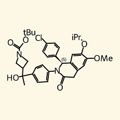 COc1cc2c(cc1OC(C)C)[C@H](c1ccc(Cl)cc1)N(c1ccc(C(C)(O)C3CN(C(=O)OC(C)(C)C)C3)cc1)C(=O)C2